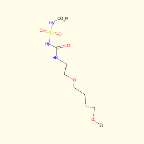 CCOCCCCOCCNC(=O)NS(=O)(=O)NC(=O)OCC